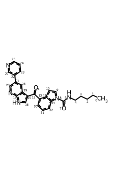 CCCCCNC(=O)n1ccc2c(C(=O)c3c[nH]c4ncc(-c5cccnc5)cc34)cccc21